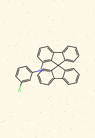 Clc1cccc(Nc2cccc3c2C2(c4ccccc4-c4ccccc42)c2ccccc2-3)c1